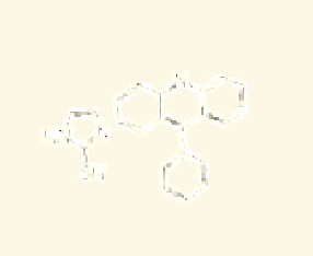 Sc1ncc[nH]1.c1ccc(-c2c3ccccc3nc3ccccc23)cc1